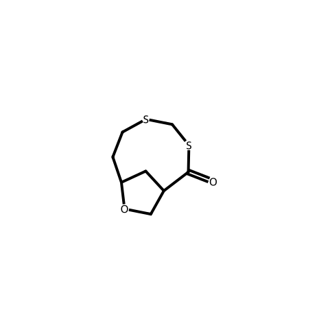 O=C1SCSCCC2CC1CO2